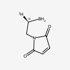 [2H][C@@H](B)CN1C(=O)C=CC1=O